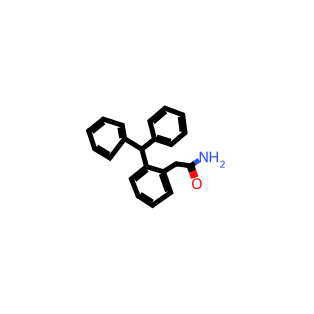 NC(=O)Cc1ccccc1C(c1ccccc1)c1ccccc1